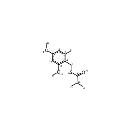 COc1cc(C)c(CSC(=O)C(C)C)c(OC)c1